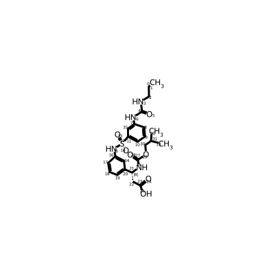 CCCNC(=O)Nc1cccc(S(=O)(=O)Nc2cccc([C@@H](CC(=O)O)NC(=O)OCC(C)C)c2)c1